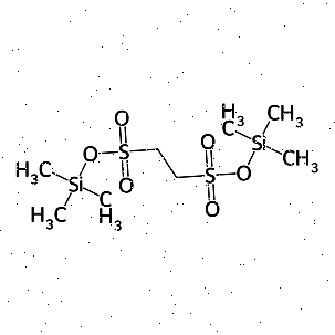 C[Si](C)(C)OS(=O)(=O)CCS(=O)(=O)O[Si](C)(C)C